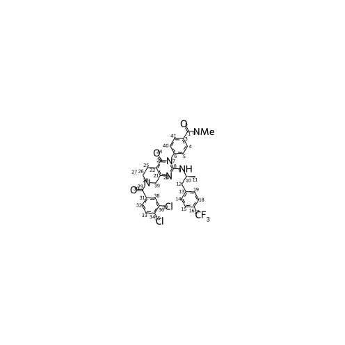 CNC(=O)c1ccc(-n2c(N[C@@H](C)Cc3ccc(C(F)(F)F)cc3)nc3c(c2=O)C[C@@H](C)N(C(=O)c2ccc(Cl)c(Cl)c2)C3)cc1